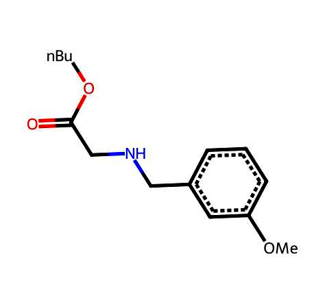 CCCCOC(=O)CNCc1cccc(OC)c1